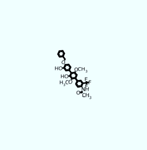 COc1cc(-c2ccc(NC(C)=O)c(C(F)(F)F)c2)c(OC)c(O)c1-c1ccc(OCc2ccccc2)c(O)c1